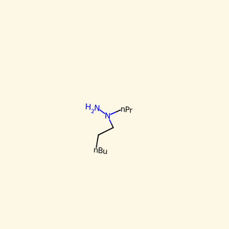 CCCCCCN(N)CCC